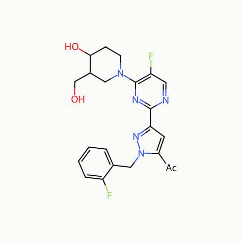 CC(=O)c1cc(-c2ncc(F)c(N3CCC(O)C(CO)C3)n2)nn1Cc1ccccc1F